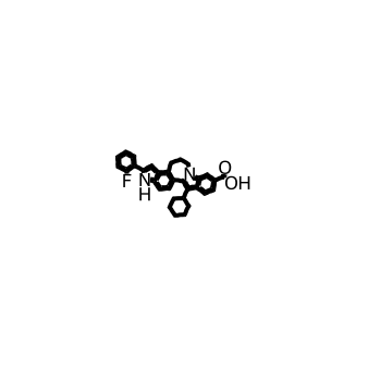 O=C(O)c1ccc2c(C3CCCCC3)c3n(c2c1)CCCc1c-3ccc2[nH]c(-c3ccccc3F)cc12